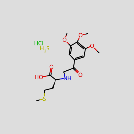 COc1cc(C(=O)CN[C@@H](CCSC)C(=O)O)cc(OC)c1OC.Cl.S